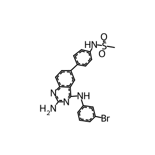 CS(=O)(=O)Nc1ccc(-c2ccc3nc(N)nc(Nc4cccc(Br)c4)c3c2)cc1